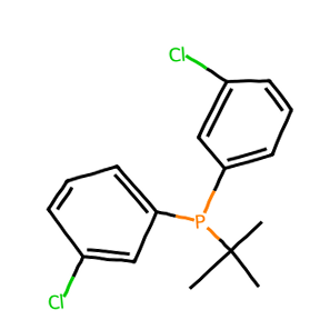 CC(C)(C)P(c1cccc(Cl)c1)c1cccc(Cl)c1